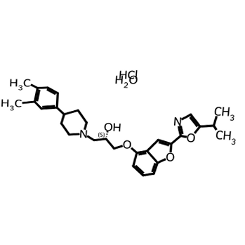 Cc1ccc(C2CCN(C[C@H](O)COc3cccc4oc(-c5ncc(C(C)C)o5)cc34)CC2)cc1C.Cl.O